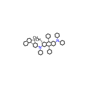 CC1(C)c2cc(N(c3ccccc3)c3ccc4c(-c5ccccc5)c5cc(N(c6ccccc6)c6ccccc6)ccc5c(-c5ccccc5)c4c3)ccc2-c2c1ccc1ccccc21